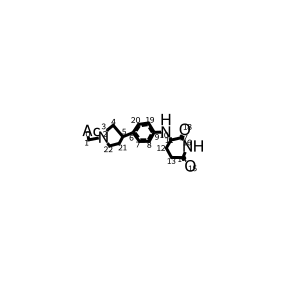 CC(=O)CN1CCC(c2ccc(NC3CCC(=O)NC3=O)cc2)CC1